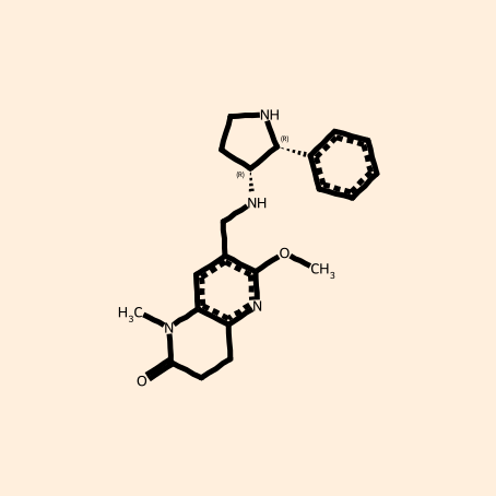 COc1nc2c(cc1CN[C@@H]1CCN[C@@H]1c1ccccc1)N(C)C(=O)CC2